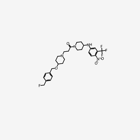 O=C(CCN1CCC(OCc2ccc(CF)cc2)CC1)N1CCC(Nc2ccc([N+](=O)[O-])c(C(F)(F)F)c2)CC1